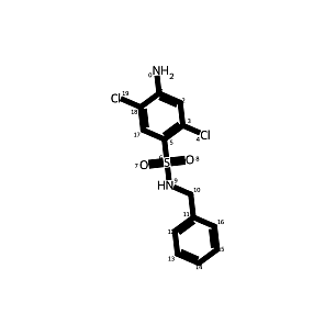 Nc1cc(Cl)c(S(=O)(=O)NCc2ccccc2)cc1Cl